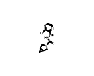 O=C(NNc1nccnc1Cl)N1CC2CC2C1